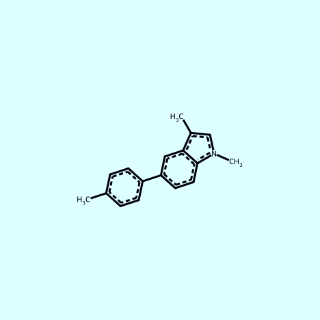 Cc1ccc(-c2ccc3c(c2)c(C)cn3C)cc1